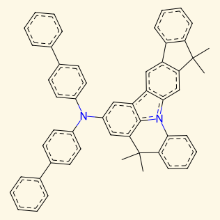 CC1(C)c2ccccc2-c2cc3c4cc(N(c5ccc(-c6ccccc6)cc5)c5ccc(-c6ccccc6)cc5)cc5c4n(c3cc21)-c1ccccc1C5(C)C